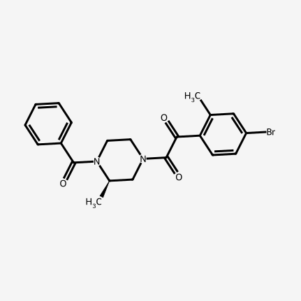 Cc1cc(Br)ccc1C(=O)C(=O)N1CCN(C(=O)c2ccccc2)[C@H](C)C1